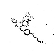 C=CCCOc1ccc(C[C@H](BOCN)C(=O)N[C@@H](CC(C)C)C(=O)O)cc1